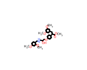 COC(=O)/C(=C/c1cc(OC)cc(OC)c1)c1ccc(OCC(O)CNCc2ccc(OC)cc2OC)cc1